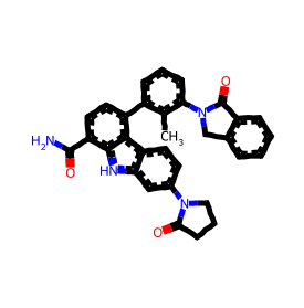 Cc1c(-c2ccc(C(N)=O)c3[nH]c4cc(N5CCCC5=O)ccc4c23)cccc1N1Cc2ccccc2C1=O